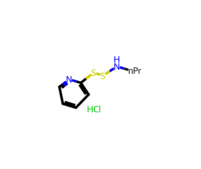 CCCNSSc1ccccn1.Cl